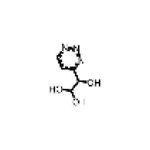 OC(O)C(O)c1ccnnn1